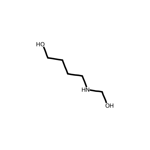 OCCCCNCO